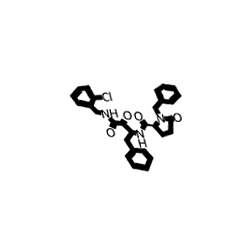 O=C(NCc1ccccc1Cl)C(=O)C(Cc1ccccc1)NC(=O)[C@@H]1CCC(=O)N1Cc1ccccc1